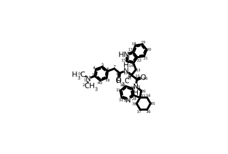 CN(C)c1ccc(CC(=O)N[C@@](C)(Cc2c[nH]c3ccccc23)C(=O)NCC2(c3ccccn3)CCCCC2)cc1